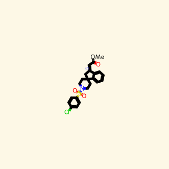 COC(=O)/C=C1/CC2(CCN(S(=O)(=O)c3ccc(Cl)cc3)CC2)c2ccccc21